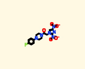 O=C(Cn1cc([N+](=O)[O-])nc1[N+](=O)[O-])N1CCN(c2ccc(F)cc2)CC1